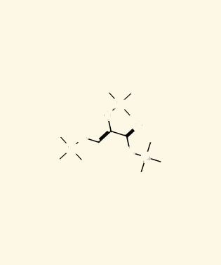 C[Si](C)(C)OC=C(O[Si](C)(C)C)C(=O)O[Si](C)(C)C